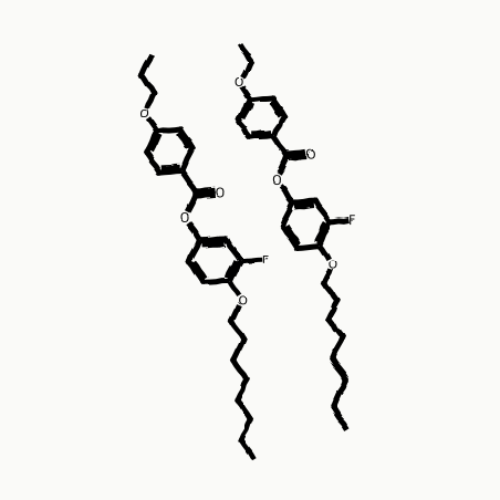 CCCCCCCCOc1ccc(OC(=O)c2ccc(OCC)cc2)cc1F.CCCCCCCCOc1ccc(OC(=O)c2ccc(OCCC)cc2)cc1F